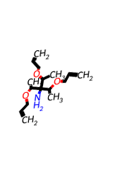 C=CCOC(C)C(N)(C(C)OCC=C)C(C)OCC=C